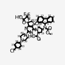 COC(=O)N(C1c2ccccc2-c2ccccc21)[C@@H]1C[C@@H](C(=O)O)N(c2nc(N3CCN(c4ccc(Cl)cc4)CC3)nc3c2[S+]([O-])CC3)C1.O=C(O)C(F)(F)F